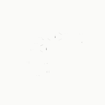 O=c1cc(-c2ccc(OC3OC(CO)C(O)C(O)C3O)cc2)oc2cc(O)c(C3OC(CO)C(O)C(O)C3OC3OCC(O)C(O)C3O)c(O)c12